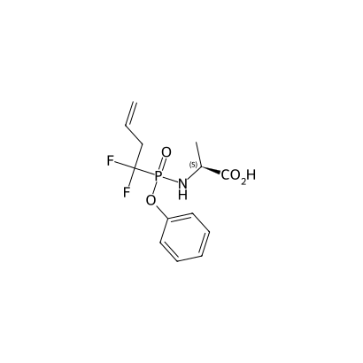 C=CCC(F)(F)P(=O)(N[C@@H](C)C(=O)O)Oc1ccccc1